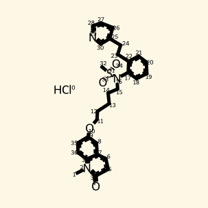 Cl.Cn1c(=O)ccc2cc(OCCCCCN(c3ccccc3CCc3cccnc3)S(C)(=O)=O)ccc21